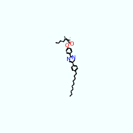 CCCCCCCCCCc1ccc(-c2cnc(-c3ccc(OC(=O)[C@@H](C)[C@H](C)CCCC)cc3)nc2)cc1